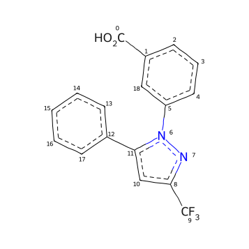 O=C(O)c1cccc(-n2nc(C(F)(F)F)cc2-c2ccccc2)c1